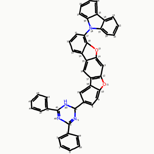 c1ccc(C2=NC(c3ccc4oc5cc6oc7c(-n8c9ccccc9c9ccccc98)cccc7c6cc5c4c3)NC(c3ccccc3)=N2)cc1